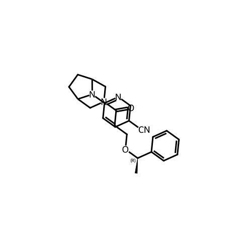 C[C@@H](OCCC(=O)N1CC2CCC(C1)N2c1ccc(C#N)cn1)c1ccccc1